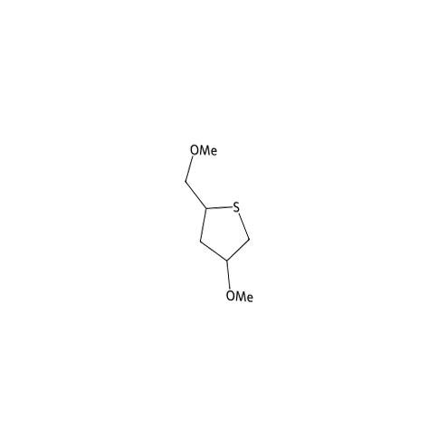 COCC1CC(OC)CS1